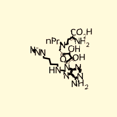 CCCN(CC[C@H](N)C(=O)O)C[C@H]1O[C@@H](n2c(NCCCCN=[N+]=[N-])nc3c(N)ncnc32)[C@@H](O)C1O